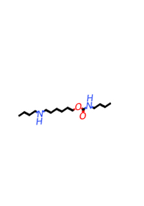 CCCCNCCCCCCOC(=O)NCCCC